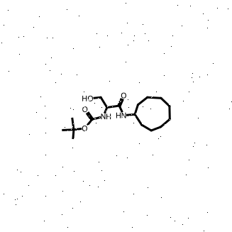 CC(C)(C)OC(=O)NC(CO)C(=O)NC1CCCCCCCC1